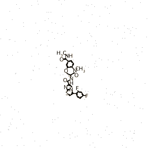 CNC(=O)c1ccc2c(c1)OC[C@H](NC(=O)c1cn3c(-c4ccc(F)cc4F)csc3n1)C(=O)N2C